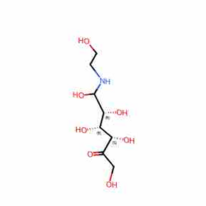 O=C(CO)[C@@H](O)[C@H](O)[C@@H](O)C(O)NCCO